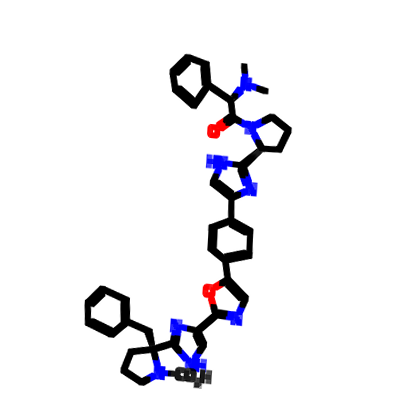 CN(C)[C@@H](C(=O)N1CCC[C@H]1c1nc(-c2ccc(-c3cnc(-c4c[nH]c([C@@]5(Cc6ccccc6)CCCN5C(=O)O)n4)o3)cc2)c[nH]1)c1ccccc1